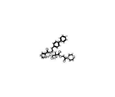 C[C@@](CO)(C[C@@H](Cc1ccc(-c2ccccc2)cc1)NC(=O)c1cnn[nH]1)C(=O)OCC(=O)N1CCOCC1